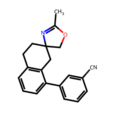 CC1=NC2(CCc3cccc(-c4cccc(C#N)c4)c3C2)CO1